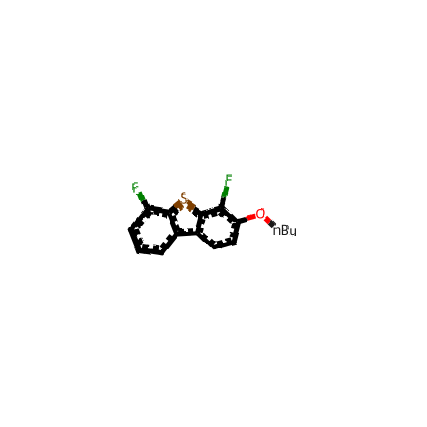 CCCCOc1ccc2c(sc3c(F)cccc32)c1F